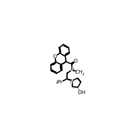 CC(C)C(CN(C)C(=O)C1c2ccccc2Oc2ccccc21)N1CC[C@H](O)C1